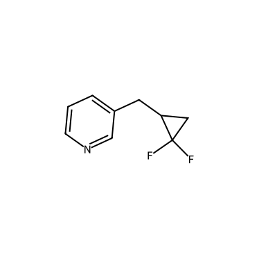 FC1(F)CC1Cc1cccnc1